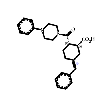 O=C(O)[C@H]1C/C(=C/c2ccccc2)CC[C@@H]1C(=O)N1CCN(c2ccccc2)CC1